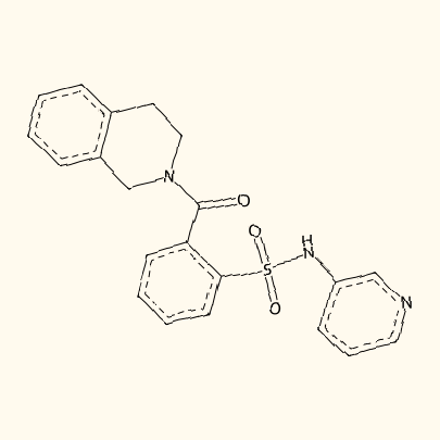 O=C(c1ccccc1S(=O)(=O)Nc1cccnc1)N1CCc2ccccc2C1